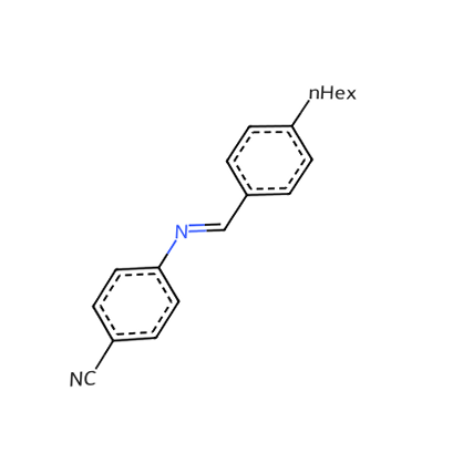 CCCCCCc1ccc(C=Nc2ccc(C#N)cc2)cc1